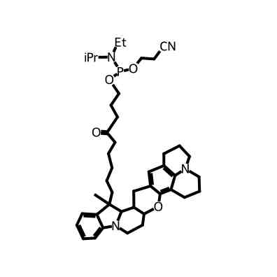 CCN(C(C)C)P(OCCC#N)OCCCC(=O)CCCCCC1(C)c2ccccc2N2CCC3Oc4c(cc5c6c4CCCN6CCC5)CC3C21